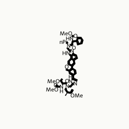 C=C(OC)[C@@H](C)CN(Cc1ncc(-c2ccc3c(c2)COc2cc4c(ccc5nc(CN(CCC)C(=O)[C@H](NC(=O)OC)c6ccccc6)[nH]c54)cc2-3)[nH]1)C(=O)[C@@H](NC(=O)OC)[C@@H](C)OC